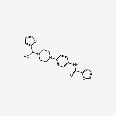 O=C(Nc1ccc(N2CCN(C(O)c3ccco3)CC2)cc1)c1ccco1